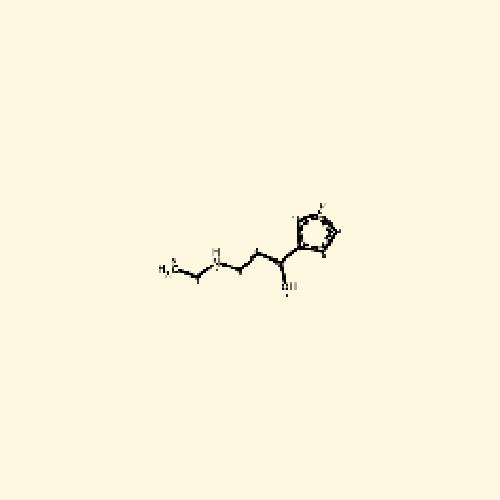 CCNCCC(O)c1ccsc1